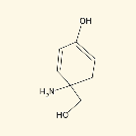 NC1(CO)C=CC(O)=CC1